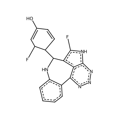 OC1=CC(F)C(C2Nc3ccccc3-c3nnnc4[nH]c(F)c2c34)C=C1